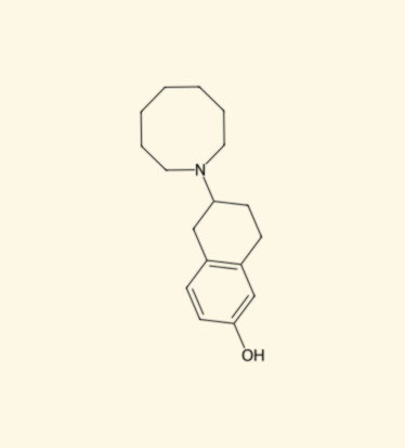 Oc1ccc2c(c1)CCC(N1CCCCCCC1)C2